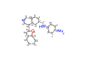 Nc1ccc(NCc2ccc3cncc(-c4cc5ccccc5o4)c3c2)cc1